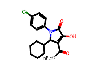 CCCCCC(=O)C1=C(O)C(=O)N(c2ccc(Cl)cc2)C1C1CCCCC1